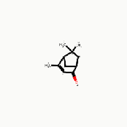 CC1=CC(=O)C2CC1C(C)(C)C2